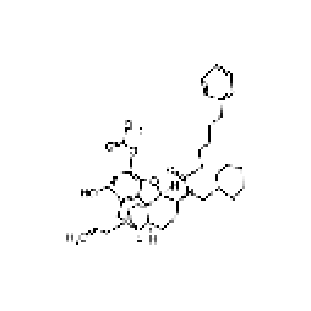 C=CCN1CC[C@]23c4c5c(O)cc(OC(C)=O)c4O[C@H]2[C@@H](N(CC2CCCCC2)C(=O)CCCCCc2ccccc2)CC[C@H]3[C@H]1C5